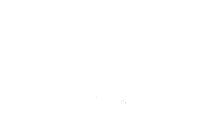 CCNC(C)C(=O)Oc1ccc(COC=O)cc1